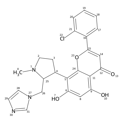 CN1CCC(c2c(O)cc(O)c3c(=O)cc(-c4ccccc4Cl)oc23)C1Cn1ccnc1